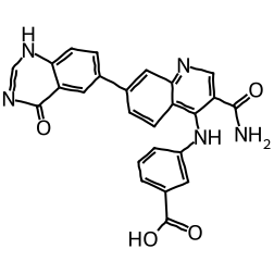 NC(=O)c1cnc2cc(-c3ccc4[nH]cnc(=O)c4c3)ccc2c1Nc1cccc(C(=O)O)c1